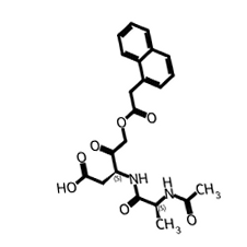 CC(=O)N[C@@H](C)C(=O)N[C@@H](CC(=O)O)C(=O)COC(=O)Cc1cccc2ccccc12